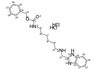 Cl.Cl.O=C(NCCCCCCNCc1nc2ccccc2[nH]1)OCc1ccccc1